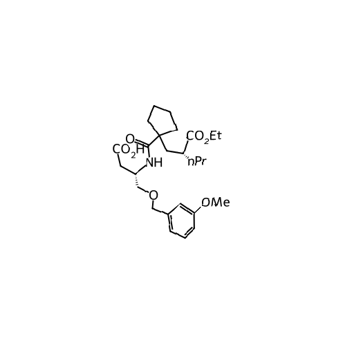 CCC[C@H](CC1(C(=O)N[C@H](COCc2cccc(OC)c2)CC(=O)O)CCCC1)C(=O)OCC